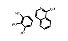 Oc1cccc(O)c1O.Oc1nccc2ccccc12